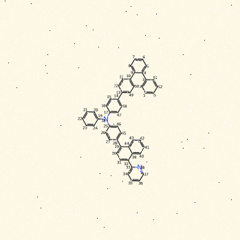 c1ccc(-c2ccccc2-c2ccc(-c3ccc(N(c4ccccc4)c4ccc(-c5ccc(-c6ccccn6)c6ccccc56)cc4)cc3)cc2)cc1